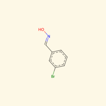 ON=Cc1cccc(Br)c1